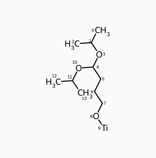 CC(C)OC(CCC[O][Ti])OC(C)C